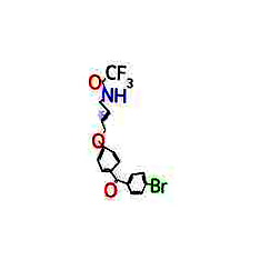 O=C(c1ccc(Br)cc1)c1ccc(OC/C=C/CNC(=O)C(F)(F)F)cc1